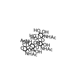 CC(=O)N[C@H]1CO[C@@H](CO)[C@@H](O[C@@H]2O[C@H](CO)[C@@H](O[C@@H]3O[C@@H](CO)[C@@H](O[C@@H]4O[C@H](CO)[C@@H](O)C(O)[C@H]4NC(C)=O)C(O)[C@H]3NC(C)=O)C(O)[C@H]2NC(C)=O)C1O